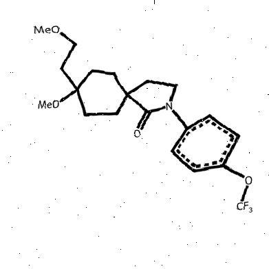 COCCC1(OC)CCC2(CCN(c3ccc(OC(F)(F)F)cc3)C2=O)CC1